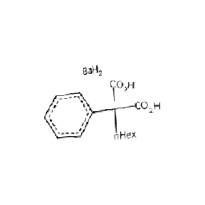 CCCCCCC(C(=O)O)(C(=O)O)c1ccccc1.[BaH2]